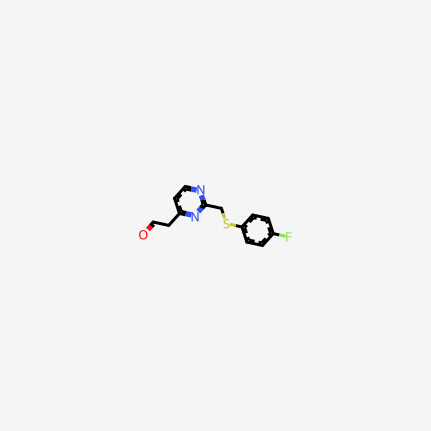 O=CCc1ccnc(CSc2ccc(F)cc2)n1